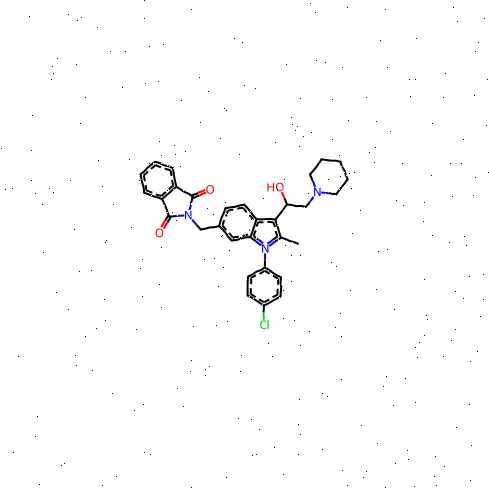 Cc1c(C(O)CN2CCCCC2)c2ccc(CN3C(=O)c4ccccc4C3=O)cc2n1-c1ccc(Cl)cc1